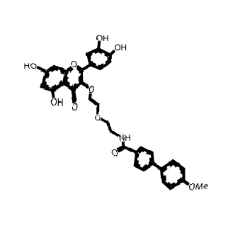 COc1ccc(-c2ccc(C(=O)NCCOCCOc3c(-c4ccc(O)c(O)c4)oc4cc(O)cc(O)c4c3=O)cc2)cc1